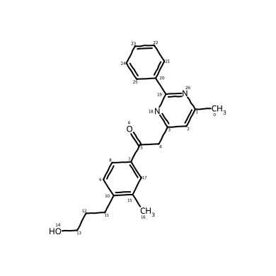 Cc1cc(CC(=O)c2ccc(CCCO)c(C)c2)nc(-c2ccccc2)n1